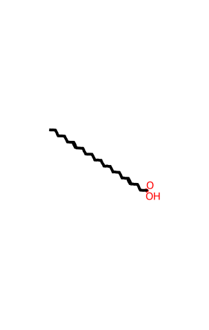 CCCCC/C=C/CCCCCCCCCC/C=C/CCC(=O)O